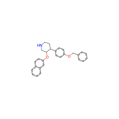 c1ccc(COc2ccc(C3CCNCC3Oc3ccc4ccccc4c3)cc2)cc1